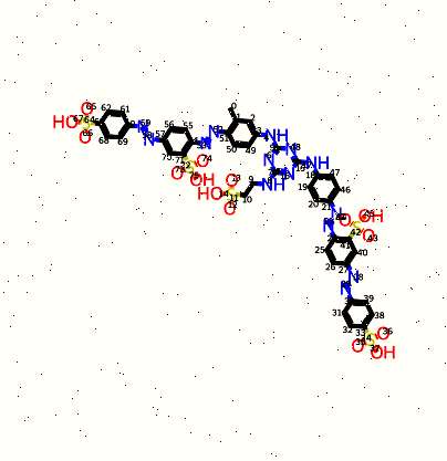 Cc1cc(Nc2nc(NCCS(=O)(=O)O)nc(Nc3ccc(N=Nc4ccc(N=Nc5ccc(S(=O)(=O)O)cc5)cc4S(=O)(=O)O)cc3)n2)ccc1N=Nc1ccc(N=Nc2ccc(S(=O)(=O)O)cc2)cc1S(=O)(=O)O